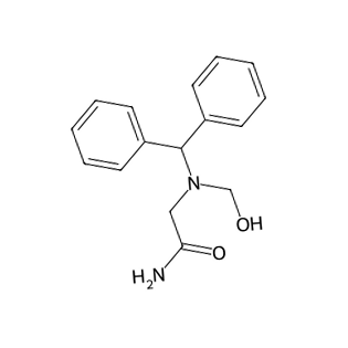 NC(=O)CN(CO)C(c1ccccc1)c1ccccc1